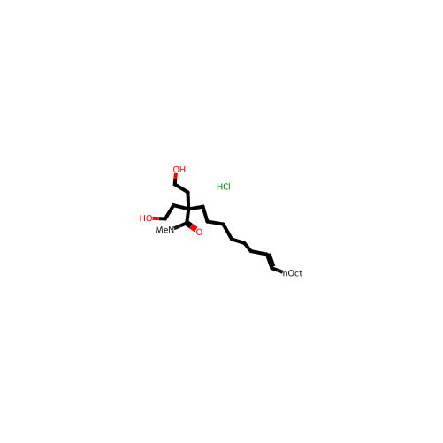 CCCCCCCCC=CCCCCCCC(CCO)(CCO)C(=O)NC.Cl